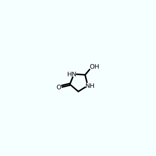 O=C1CNC(O)N1